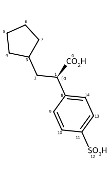 O=C(O)[C@H](CC1CCCC1)c1ccc(S(=O)(=O)O)cc1